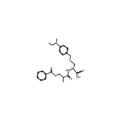 CCN(C)c1ccc(CSC[C@H](NC(=O)C(C)CSC(=O)c2ccccc2)C(=O)O)cc1